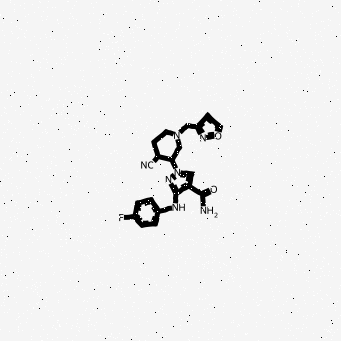 N#CC1CCN(Cc2ccon2)CC1n1cc(C(N)=O)c(Nc2ccc(F)cc2)n1